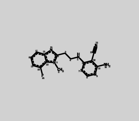 Cn1c(CCNc2ncnc(N)c2C#N)nc2cccc(F)c21